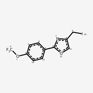 FC(F)(F)Oc1ccc(-c2nc(CI)co2)cc1